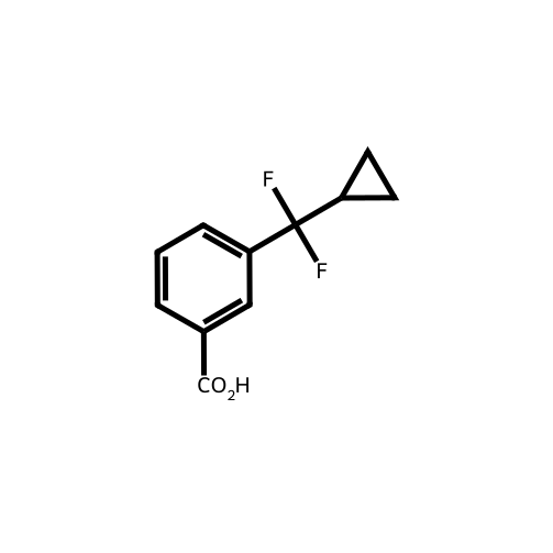 O=C(O)c1cccc(C(F)(F)C2CC2)c1